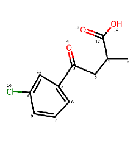 CC(CC(=O)c1cccc(Cl)c1)C(=O)O